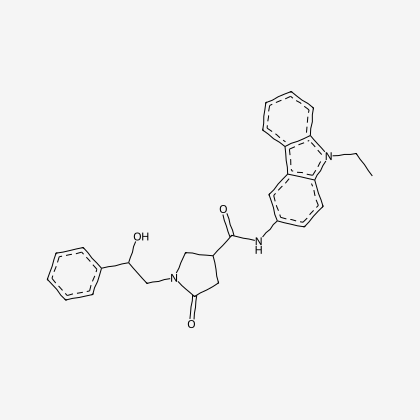 CCn1c2ccccc2c2cc(NC(=O)C3CC(=O)N(CC(O)c4ccccc4)C3)ccc21